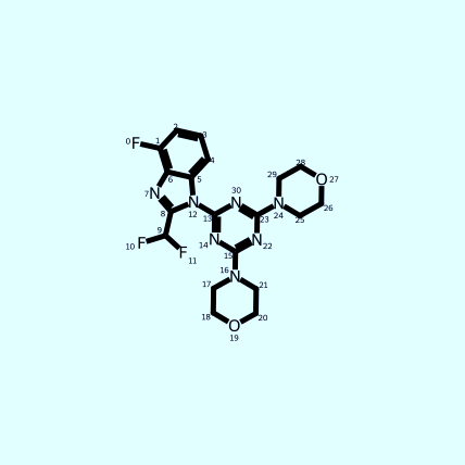 Fc1cccc2c1nc(C(F)F)n2-c1nc(N2CCOCC2)nc(N2CCOCC2)n1